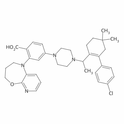 CC(C1=C(c2ccc(Cl)cc2)CC(C)(C)CC1)N1CCN(c2ccc(C(=O)O)c(N3CCCOc4ncccc43)c2)CC1